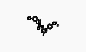 Cc1cn(-c2ccc(C(F)(F)F)cc2)c(=NC(=O)NCc2cccc(Cl)c2)s1